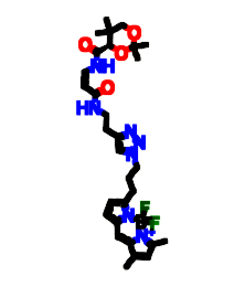 CC1=CC(C)=[N+]2C1=Cc1ccc(CCCn3cc(CCNC(=O)/C=C\NC(=O)[C@@H]4OC(C)(C)OCC4(C)C)nn3)n1[B-]2(F)F